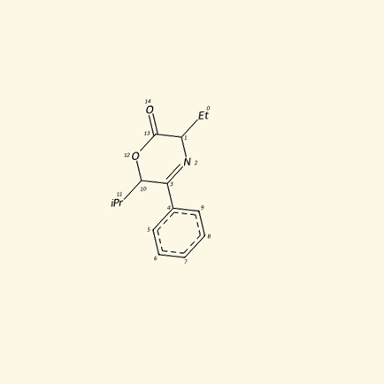 CCC1N=C(c2ccccc2)C(C(C)C)OC1=O